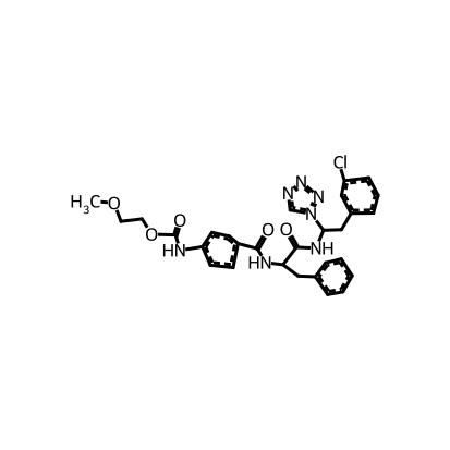 COCCOC(=O)Nc1ccc(C(=O)NC(Cc2ccccc2)C(=O)NC(Cc2cccc(Cl)c2)n2cnnn2)cc1